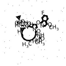 CC[C@@H]1C[C@H](C)CC/C=C\[C@@H]2C[C@@]2(C(=O)NS(=O)(=O)C2CC2)NC(=O)[C@@H]2C[C@@H](Oc3ncc(OC)c4ccc(F)cc34)CN2C(=O)[C@H]1NC(=O)O